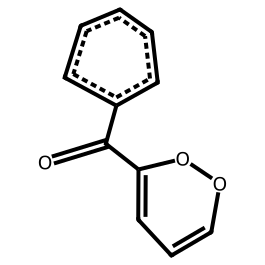 O=C(C1=CC=COO1)c1ccccc1